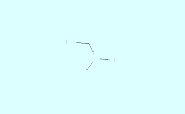 C[CH2][SnH]([CH3])[Cl]